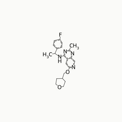 Cc1nc(NC(C)c2ccc(F)cc2)c2cc(OCC3CCOCC3)ncc2n1